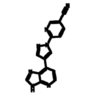 N#Cc1ccc(-n2cc(-c3ccnc4[nH]cnc34)cn2)nc1